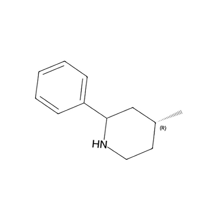 C[C@@H]1CCNC(c2ccccc2)C1